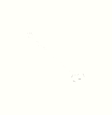 CCCCCCCCCCCCCCCOCCOc1cccc2ccccc12